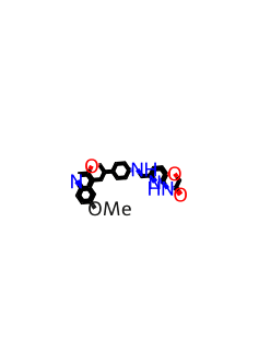 COc1ccc2ncc3c(c2c1)CC(C1CCC(NCc2ccc4c(n2)NC(=O)CO4)CC1)CO3